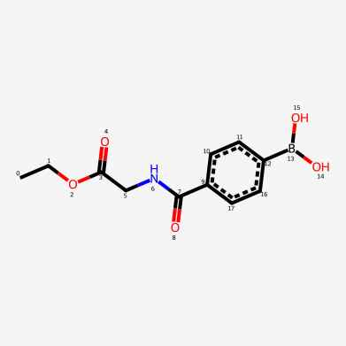 CCOC(=O)CNC(=O)c1ccc(B(O)O)cc1